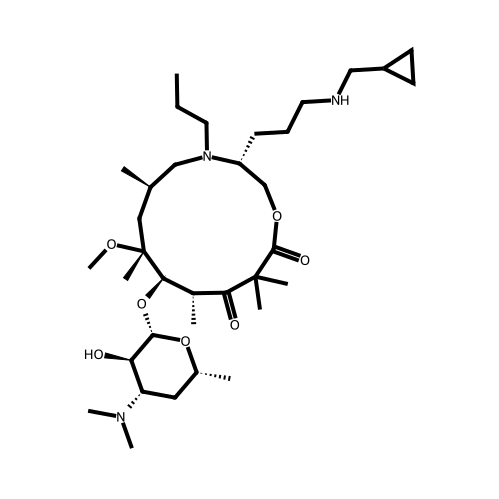 CCCN1C[C@H](C)C[C@@](C)(OC)[C@H](O[C@@H]2O[C@H](C)C[C@H](N(C)C)[C@H]2O)[C@@H](C)C(=O)C(C)(C)C(=O)OC[C@H]1CCCNCC1CC1